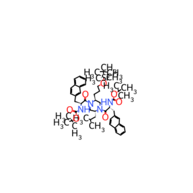 CC(C)C[C@@H]1CN(C(=O)[C@H](Cc2ccc3ccccc3c2)NC(=O)OC(C)(C)C)[C@@H](CCCO[Si](C)(C)C(C)(C)C)CN1C(=O)[C@@H](Cc1ccc2ccccc2c1)NC(=O)OC(C)(C)C